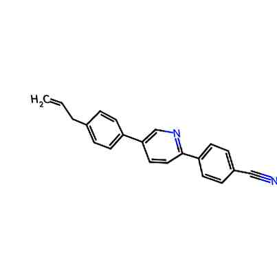 C=CCc1ccc(-c2ccc(-c3ccc(C#N)cc3)nc2)cc1